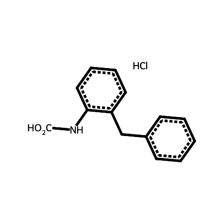 Cl.O=C(O)Nc1ccccc1Cc1ccccc1